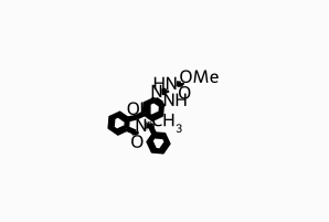 COC(=O)Nc1nc2cc(C3(O)c4ccccc4C(=O)N3[C@H](C)c3ccccc3)ccc2[nH]1